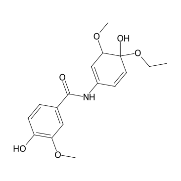 CCOC1(O)C=CC(NC(=O)c2ccc(O)c(OC)c2)=CC1OC